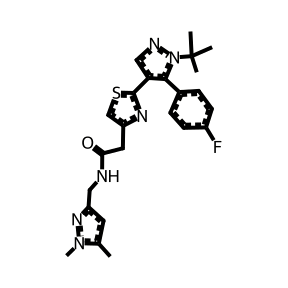 Cc1cc(CNC(=O)Cc2csc(-c3cnn(C(C)(C)C)c3-c3ccc(F)cc3)n2)nn1C